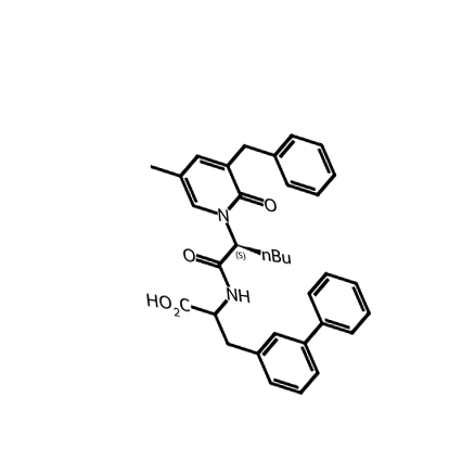 CCCC[C@@H](C(=O)NC(Cc1cccc(-c2ccccc2)c1)C(=O)O)n1cc(C)cc(Cc2ccccc2)c1=O